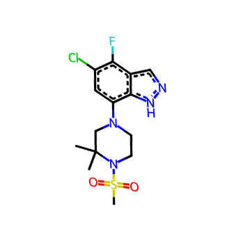 CC1(C)CN(c2cc(Cl)c(F)c3cn[nH]c23)CCN1S(C)(=O)=O